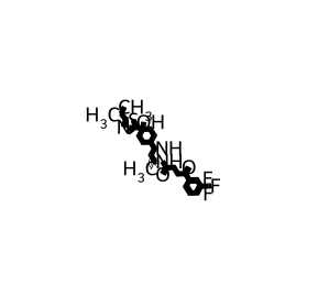 CC(C)c1ncc(C2(O)CCC(C(=N)C[C@@H](C)NC(=O)CCC(=O)c3cccc(C(F)(F)F)c3)CC2)s1